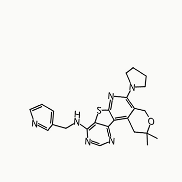 CC1(C)Cc2c(c(N3CCCC3)nc3sc4c(NCc5cccnc5)ncnc4c23)CO1